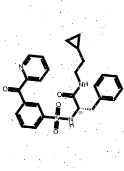 O=C(c1cccc(S(=O)(=O)N[C@@H](Cc2ccccc2)C(=O)NCCC2CC2)c1)c1ccccn1